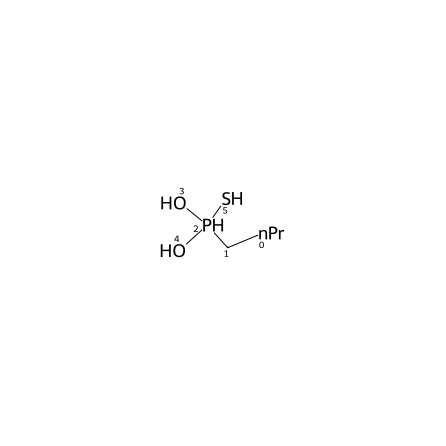 CCCC[PH](O)(O)S